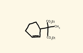 CCOC(=O)C(C)(C(=O)OCC)C1C=CCCC1